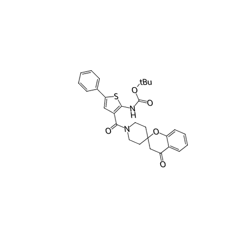 CC(C)(C)OC(=O)Nc1sc(-c2ccccc2)cc1C(=O)N1CCC2(CC1)CC(=O)c1ccccc1O2